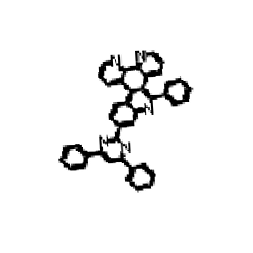 c1ccc(-c2cc(-c3ccccc3)nc(-c3ccc4c(c3)nc(-c3ccccc3)c3c5cccnc5c5ncccc5c43)n2)cc1